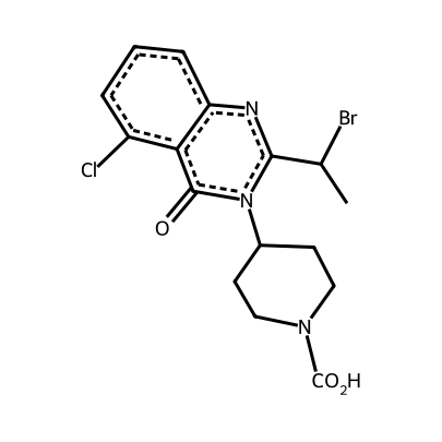 CC(Br)c1nc2cccc(Cl)c2c(=O)n1C1CCN(C(=O)O)CC1